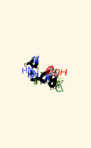 Cc1cnccc1Nc1ncc(F)c(-c2ccn([C@H](CO)c3ccc(Cl)c(F)c3)c(=O)c2)n1